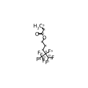 C=CC(=O)OCCCC(F)(C(F)F)C(F)(F)F